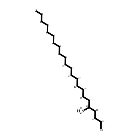 CCCCCCCCCCCCCCCCCCC(N)CCCC